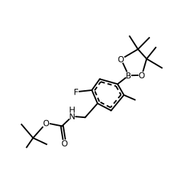 Cc1cc(CNC(=O)OC(C)(C)C)c(F)cc1B1OC(C)(C)C(C)(C)O1